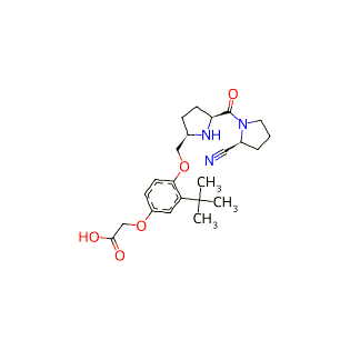 CC(C)(C)c1cc(OCC(=O)O)ccc1OC[C@H]1CC[C@@H](C(=O)N2CCC[C@H]2C#N)N1